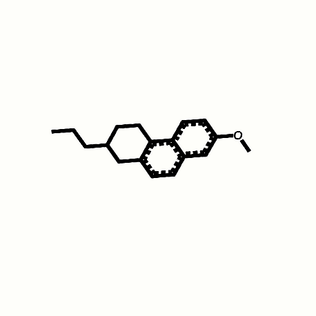 CCCC1CCc2c(ccc3cc(OC)ccc23)C1